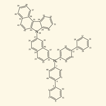 c1ccc(-c2ccc(N(c3ccc(-c4ccccc4)cc3)c3ccc4ccc(-n5c6ccccc6c6c7ccccc7ccc65)cc4c3)cc2)cc1